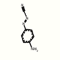 N#CN=Nc1ccc(N)cc1